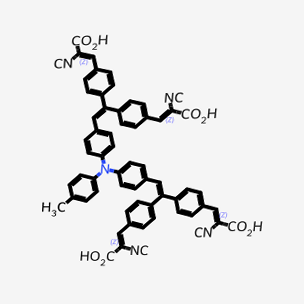 [C-]#[N+]/C(=C\c1ccc(C(=Cc2ccc(N(c3ccc(C)cc3)c3ccc(C=C(c4ccc(/C=C(\[N+]#[C-])C(=O)O)cc4)c4ccc(/C=C(\[N+]#[C-])C(=O)O)cc4)cc3)cc2)c2ccc(/C=C(\[N+]#[C-])C(=O)O)cc2)cc1)C(=O)O